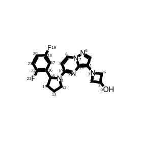 OC1CN(c2cnn3ccc(N4CCCC4c4cc(F)ccc4F)nc23)C1